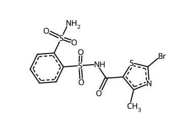 Cc1nc(Br)sc1C(=O)NS(=O)(=O)c1ccccc1S(N)(=O)=O